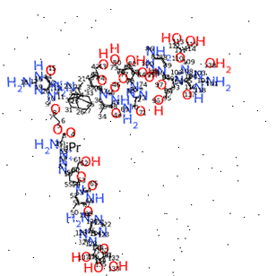 CC(C)[C@H](N)C(=O)OCCOCn1cnc2c(=O)[nH]c(N)nc21.CC(N)C12CC3CC(CC(C3)C1)C2.Cc1cn([C@H]2C=C[C@@H](CO)O2)c(=O)[nH]c1=O.Cc1cn([C@H]2C[C@H](N=[N+]=[N-])[C@@H](CO)O2)c(=O)[nH]c1=O.NC(=O)c1ncn([C@@H]2O[C@H](CO)[C@@H](O)[C@H]2O)n1.Nc1ccn([C@H]2CC[C@@H](CO)O2)c(=O)n1.Nc1nc2c(ncn2COC(CO)CO)c(=O)[nH]1.Nc1ncnc2c1ncn2[C@@H]1O[C@H](CO)[C@@H](O)[C@@H]1O.O